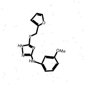 COc1cccc(Nc2n[nH]c(SCc3ccco3)n2)c1